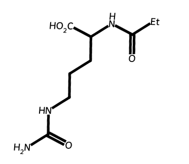 CCC(=O)NC(CCCNC(N)=O)C(=O)O